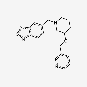 c1cncc(COC2CCCN(Cc3ccc4nsnc4c3)C2)c1